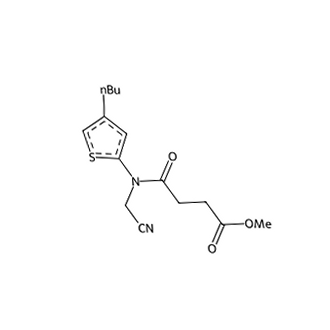 CCCCc1csc(N(CC#N)C(=O)CCC(=O)OC)c1